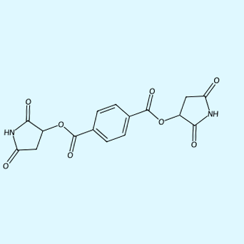 O=C1CC(OC(=O)c2ccc(C(=O)OC3CC(=O)NC3=O)cc2)C(=O)N1